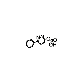 O=[P](O)Oc1ccc(-c2ccccc2)nn1